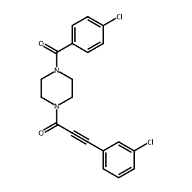 O=C(C#Cc1cccc(Cl)c1)N1CCN(C(=O)c2ccc(Cl)cc2)CC1